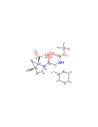 CC(C)(C)OC(=O)N[C@H](CC1CCCCC1)C(=O)N1CC[C@@H]2C[C@@]21C(=O)O